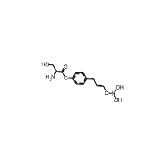 NC(CO)C(=O)Oc1ccc(CCCON(O)O)cc1